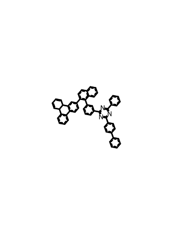 C1=CC2c3ccccc3-c3ccc(-c4ccc5ccccc5c4-c4cccc(-c5nc(-c6ccccc6)nc(-c6ccc(-c7ccccc7)cc6)n5)c4)cc3C2C=C1